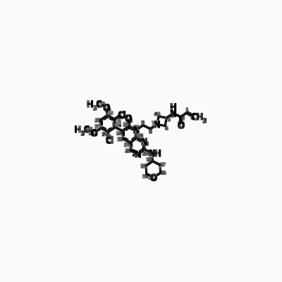 C=CC(=O)NC1CN(CCn2c(=O)c(-c3c(Cl)c(OC)cc(OC)c3Cl)cc3cnc(NC4CCOCC4)nc32)C1